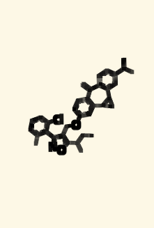 C=C(C)c1ccc2c(c1)C1CC1c1cc(OCc3c(-c4c(C)cccc4Cl)noc3C(C)CC)ccc1C2=C